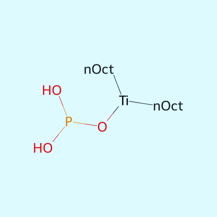 CCCCCCC[CH2][Ti]([CH2]CCCCCCC)[O]P(O)O